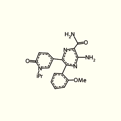 COc1ccccc1-c1nc(N)c(C(N)=O)nc1-c1ccc(=O)n(C(C)C)c1